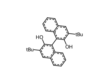 CC(C)(C)c1cc2ccccc2c(-c2c(O)c(C(C)(C)C)cc3ccccc23)c1O